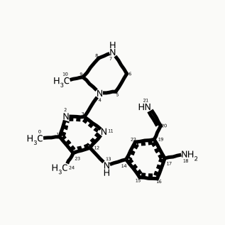 Cc1nc(N2CCNCC2C)nc(Nc2ccc(N)c(C=N)c2)c1C